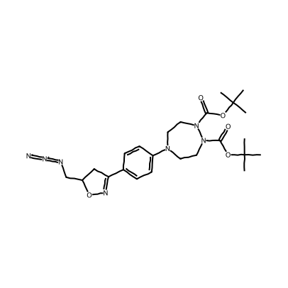 CC(C)(C)OC(=O)N1CCN(c2ccc(C3=NOC(CN=[N+]=[N-])C3)cc2)CCN1C(=O)OC(C)(C)C